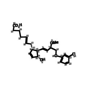 COC(C=C[C@H]1[C@H](O)C=C[C@@H]1CC=CCCCC(=O)O)COc1cccc(Cl)c1